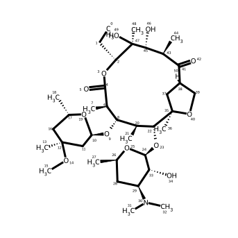 CC[C@H]1OC(=O)[C@H](C)[C@@H](O[C@H]2C[C@@](C)(OC)C[C@H](C)O2)[C@H](C)[C@@H](O[C@@H]2O[C@H](C)C[C@H](N(C)C)[C@H]2O)[C@@]2(C)C[C@@H](CO2)C(=O)[C@H](C)[C@@H](O)[C@]1(C)O